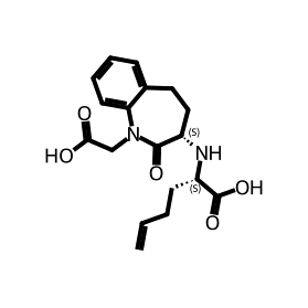 C=CCC[C@H](N[C@H]1CCc2ccccc2N(CC(=O)O)C1=O)C(=O)O